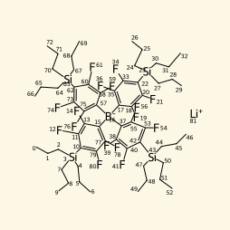 CCC[Si](CCC)(CCC)c1c(F)c(F)c([B-](c2c(F)c(F)c([Si](CCC)(CCC)CCC)c(F)c2F)(c2c(F)c(F)c([Si](CCC)(CCC)CCC)c(F)c2F)c2c(F)c(F)c([Si](CCC)(CCC)CCC)c(F)c2F)c(F)c1F.[Li+]